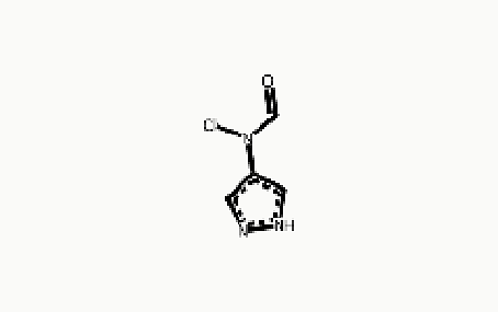 O=CN(Cl)c1cn[nH]c1